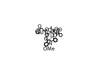 C=C[C@@H]1C[C@]1(NC(=O)[C@@H]1C[C@@H](Oc2cc(-c3ccccc3)nc3cc(OC)ccc23)CN1C(=O)[C@@H](CC(=O)N1CCCCC1)C(C)(C)C)C(=O)N(C1CCCC1)[SH](=O)=O